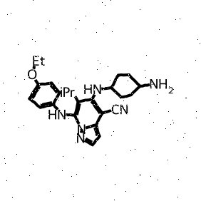 CCOc1ccc(Nc2c(C(C)C)c(NC3CCC(N)CC3)c(C#N)c3ccnn23)cc1